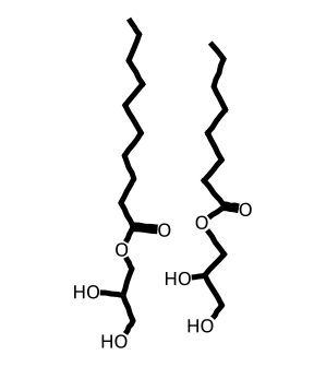 CCCCCCCC(=O)OCC(O)CO.CCCCCCCCCC(=O)OCC(O)CO